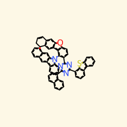 C1=Cc2cc3oc4ccc(-c5nc(-c6cccc7ccccc67)nc(-c6cccc7c6sc6ccccc67)n5)c(-n5c6ccccc6c6cc7ccccc7cc65)c4c3cc2CC1